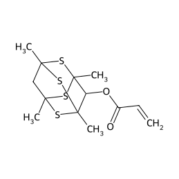 C=CC(=O)OC1C2(C)SC3(C)CC(C)(S2)SC1(C)S3